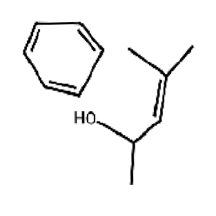 CC(C)=CC(C)O.c1ccccc1